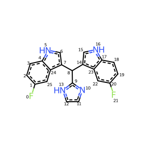 Fc1ccc2[nH]cc(C(c3ncc[nH]3)c3c[nH]c4ccc(F)cc34)c2c1